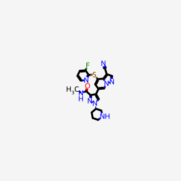 CNC(=O)c1nn([C@H]2CCCNC2)cc1-c1cc(Sc2ncccc2F)c2c(C#N)cnn2c1